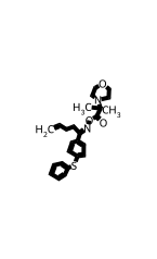 C=CCC/C(=N\OC(=O)C(C)(C)N1CCOCC1)c1ccc(Sc2ccccc2)cc1